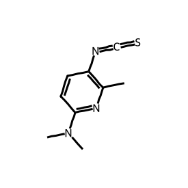 Cc1nc(N(C)C)ccc1N=C=S